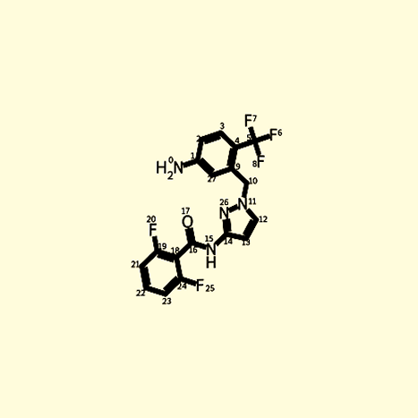 Nc1ccc(C(F)(F)F)c(Cn2ccc(NC(=O)c3c(F)cccc3F)n2)c1